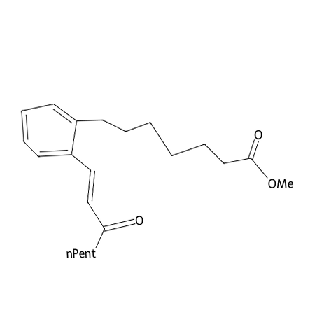 CCCCCC(=O)/C=C/c1ccccc1CCCCCCC(=O)OC